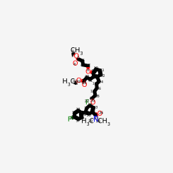 CCOC(=O)CCCOc1cccc(CCCCCCOC2(F)C=C(C(=O)N(C)C)C=C(c3ccc(F)cc3)C2)c1CCC(=O)OCC